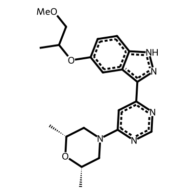 COCC(C)Oc1ccc2[nH]nc(-c3cc(N4C[C@@H](C)O[C@@H](C)C4)ncn3)c2c1